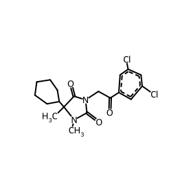 CN1C(=O)N(CC(=O)c2cc(Cl)cc(Cl)c2)C(=O)C1(C)C1CCCCC1